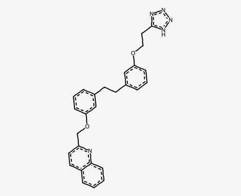 c1cc(CCc2cccc(OCc3ccc4ccccc4n3)c2)cc(OCCc2nnn[nH]2)c1